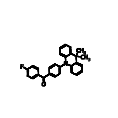 CC1(C)c2ccccc2N(c2ccc(C(=O)c3ccc(F)cc3)cc2)c2ccccc21